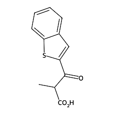 CC(C(=O)O)C(=O)c1cc2ccccc2s1